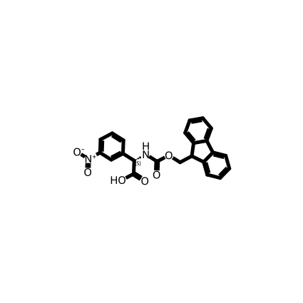 O=C(N[C@H](C(=O)O)c1cccc([N+](=O)[O-])c1)OCC1c2ccccc2-c2ccccc21